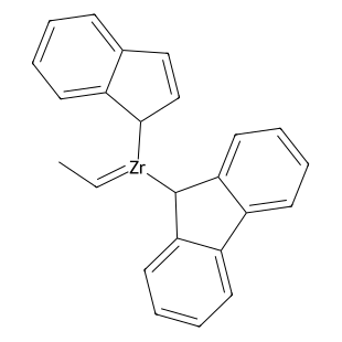 C[CH]=[Zr]([CH]1C=Cc2ccccc21)[CH]1c2ccccc2-c2ccccc21